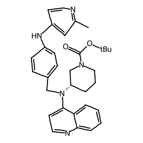 Cc1cc(Nc2ccc(CN(c3ccnc4ccccc34)[C@H]3CCCN(C(=O)OC(C)(C)C)C3)cc2)ccn1